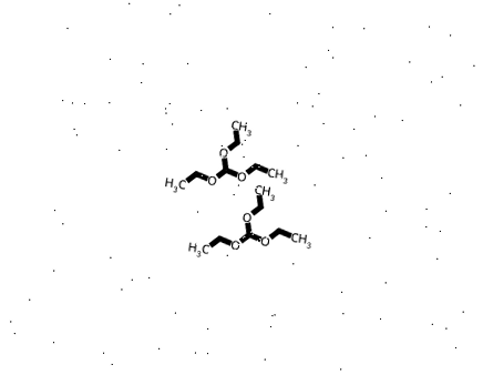 CCOC(OCC)OCC.CCOC(OCC)OCC